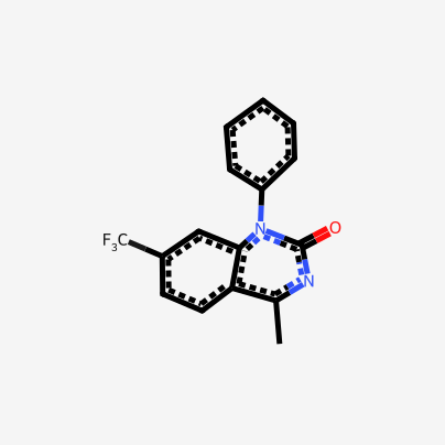 Cc1nc(=O)n(-c2ccccc2)c2cc(C(F)(F)F)ccc12